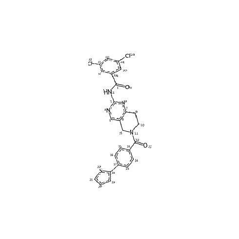 O=C(Nc1ncc2c(n1)CCN(C(=O)c1ccc(-c3cccs3)cc1)C2)c1cc(Cl)cc(Cl)c1